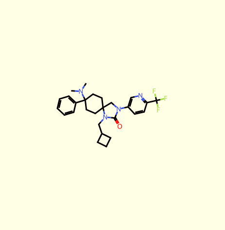 CN(C)C1(c2ccccc2)CCC2(CC1)CN(c1ccc(C(F)(F)F)nc1)C(=O)N2CC1CCC1